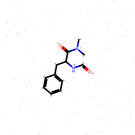 CN(C)C(=O)C(Cc1ccccc1)NC=O